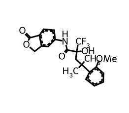 COc1ccccc1C(C)(C)CC(O)(C(=O)Nc1ccc2c(c1)COC2=O)C(F)(F)F